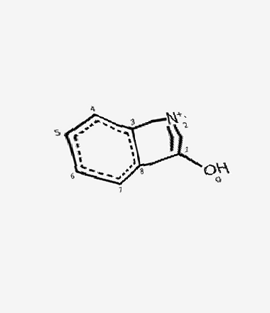 OC1=[N+]c2ccccc21